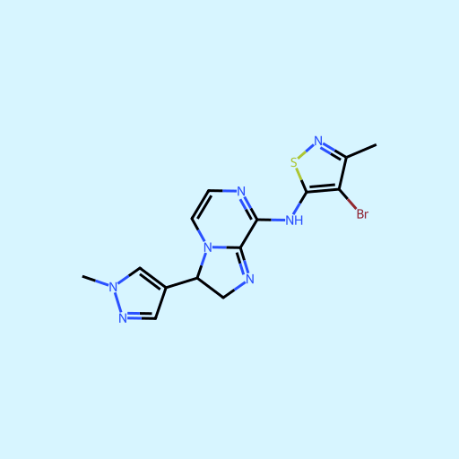 Cc1nsc(NC2=NC=CN3C2=NCC3c2cnn(C)c2)c1Br